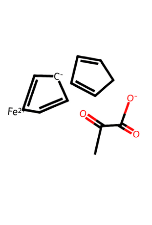 C1=CCC=C1.CC(=O)C(=O)[O-].[Fe+2].c1cc[cH-]c1